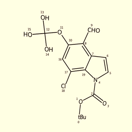 CC(C)(C)OC(=O)n1ccc2c(C=O)c(OC(O)(O)O)cc(Cl)c21